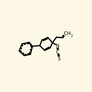 C=CCC1(N=C=S)C=CC(c2ccccc2)C=C1